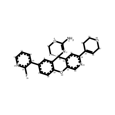 NC1=N[C@]2(CCO1)c1cc(-c3cccnc3F)ccc1Oc1cnc(C3=CCOCC3)cc12